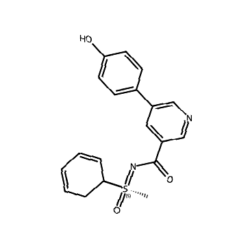 C[S@@](=O)(=NC(=O)c1cncc(-c2ccc(O)cc2)c1)C1C=CC=CC1